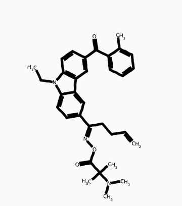 C=CCC/C(=N\OC(=O)C(C)(C)N(C)C)c1ccc2c(c1)c1cc(C(=O)c3ccccc3C)ccc1n2CC